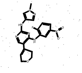 Cn1cc(Nc2ncc(C3=CCOCC3)c(Nc3cc([N+](=O)[O-])ccc3F)n2)cn1